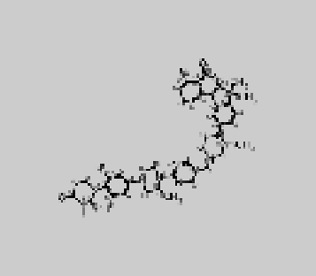 C[C@@H]1CN(Cc2cnc(N3CCN(c4cc(F)c(C5CCC(=O)NC5=O)c(F)c4)C[C@@H]3C)nc2)CCN1c1ccc2c(c1)-n1c(nc(=O)c3c(Cl)cccc31)C2(C)C